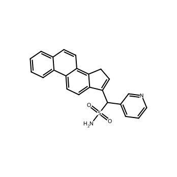 NS(=O)(=O)C(C1=CCc2c1ccc1c2ccc2ccccc21)c1cccnc1